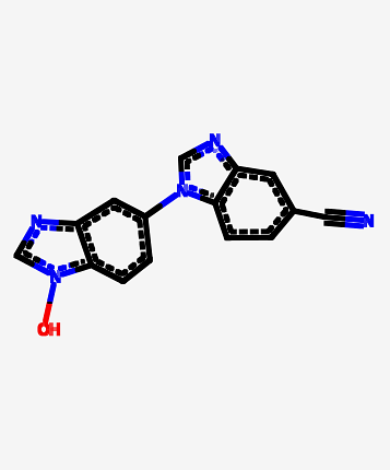 N#Cc1ccc2c(c1)ncn2-c1ccc2c(c1)ncn2O